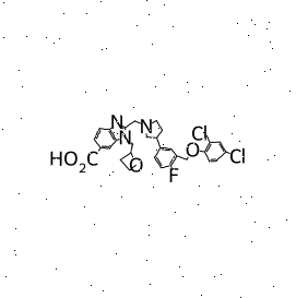 O=C(O)c1ccc2nc(CN3CCC(c4ccc(F)c(COc5ccc(Cl)cc5Cl)c4)C3)n(C[C@@H]3CCO3)c2c1